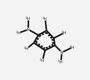 [2H]c1c([2H])c(N([2H])[2H])c([2H])c([2H])c1N([2H])[2H]